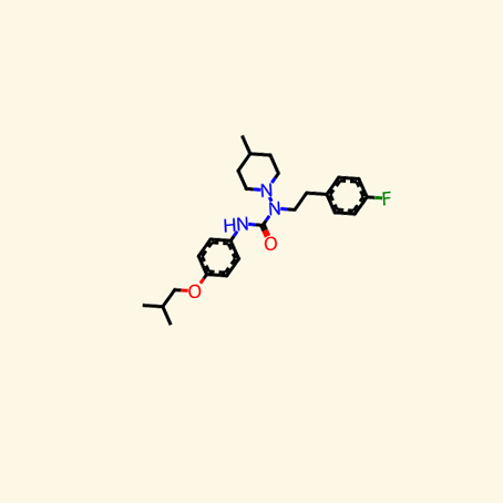 CC(C)COc1ccc(NC(=O)N(CCc2ccc(F)cc2)N2CCC(C)CC2)cc1